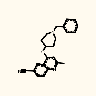 Cc1cc(OC2CCN(Cc3ccccc3)CC2)c2cc(C#N)ccc2n1